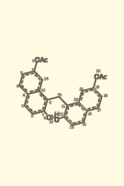 CC(=O)Oc1ccc2ccc(O)c(Cc3c(O)ccc4ccc(OC(C)=O)cc34)c2c1